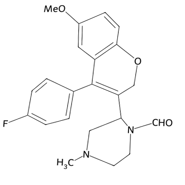 COc1ccc2c(c1)C(c1ccc(F)cc1)=C(C1CN(C)CCN1C=O)CO2